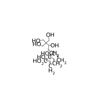 C=CC(=O)O.C=CC(=O)O.C=CC(=O)O.C=CC(O)C(CO)(CO)CO